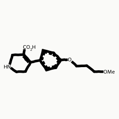 COCCCOc1ccc(C2=C(C(=O)O)CNCC2)cc1